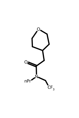 CCCN(CC(F)(F)F)C(=O)CC1CCOCC1